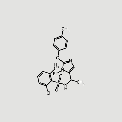 CCn1c(C(C)NS(=O)(=O)c2c(C)cccc2Cl)cnc1Oc1ccc(C)cc1